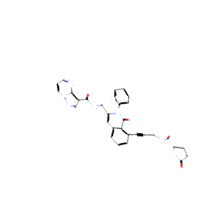 C[C@H](NC(=O)c1cnn2cccnc12)c1cc2cccc(C#CCNC(=O)[C@@H]3CCC(=O)N3)c2c(=O)n1-c1ccccc1